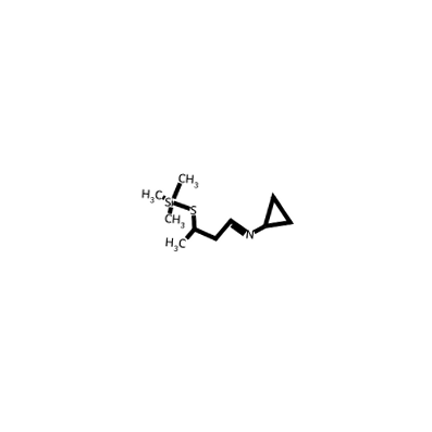 CC(CC=NC1CC1)S[Si](C)(C)C